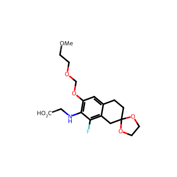 COCCOCOc1cc2c(c(F)c1NCC(=O)O)CC1(CC2)OCCO1